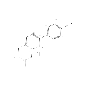 Fc1ccc(C2=CC[C@@H]3CCNC[C@@H]3C2)cn1